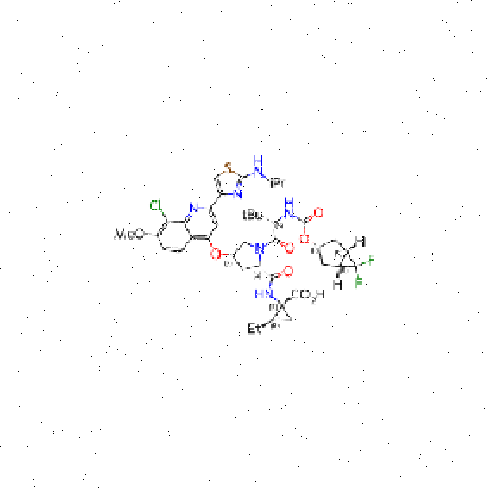 CC[C@@H]1C[C@]1(NC(=O)[C@@H]1C[C@@H](Oc2cc(-c3csc(NC(C)C)n3)nc3c(Cl)c(OC)ccc23)CN1C(=O)[C@@H](NC(=O)O[C@H]1C[C@@H]2[C@H](C1)C2(F)F)C(C)(C)C)C(=O)O